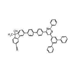 CC1(C)c2ccc(C#N)cc2-c2cc(-c3ccc(-c4ccc(-c5cc(-c6cc(-c7ccccc7)cc(-c7ccccc7)c6)nc(-c6ccccc6)n5)cc4)cc3)ccc21